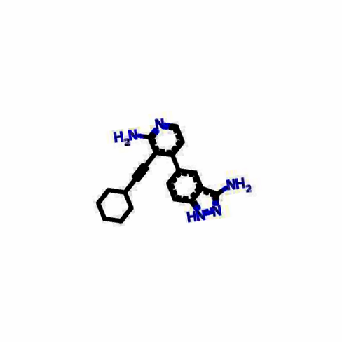 Nc1nccc(-c2ccc3[nH]nc(N)c3c2)c1C#CC1CCCCC1